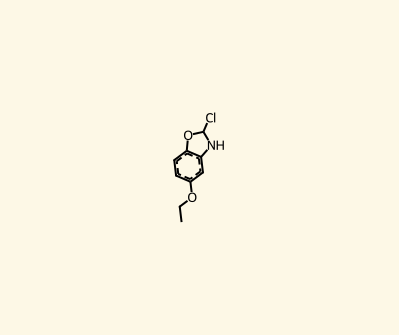 CCOc1ccc2c(c1)NC(Cl)O2